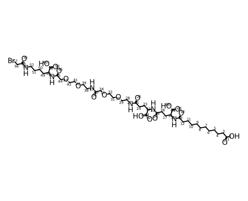 O=C(O)CCCCCCCCCCC(=O)NC(CCC(=O)NC(CCC(=O)NCCOCCOCC(=O)NCCOCCOCC(=O)NC(CCCCNC(=O)CBr)C(=O)O)C(=O)O)C(=O)O